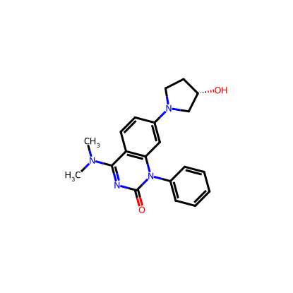 CN(C)c1nc(=O)n(-c2ccccc2)c2cc(N3CC[C@H](O)C3)ccc12